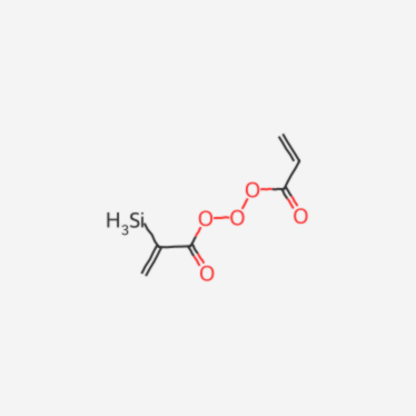 C=CC(=O)OOOC(=O)C(=C)[SiH3]